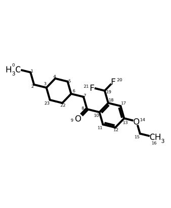 CCCC1CCC(CC(=O)c2ccc(OCC)cc2C(F)F)CC1